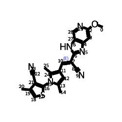 COc1cc2nc(/C(C#N)=C/c3cc(C)n(-c4scc(C)c4C#N)c3C)[nH]c2cn1